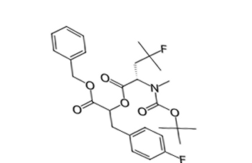 CN(C(=O)OC(C)(C)C)[C@@H](CC(C)(C)F)C(=O)OC(Cc1ccc(F)cc1)C(=O)OCc1ccccc1